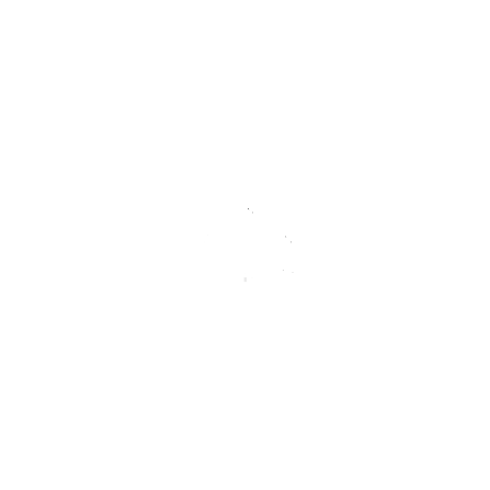 Cc1ncnc(C(C)C)c1C(C)C